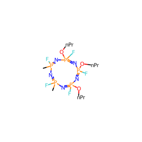 CCCOP1(F)=NP(C)(F)=NP(C)(F)=NP(F)(OCCC)=NP(F)(OCCC)=N1